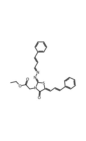 CCOC(=O)CN1C(=O)C(=CC=Cc2ccccc2)SC1=NN=CC=Cc1ccccc1